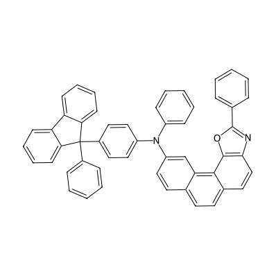 c1ccc(-c2nc3ccc4ccc5ccc(N(c6ccccc6)c6ccc(C7(c8ccccc8)c8ccccc8-c8ccccc87)cc6)cc5c4c3o2)cc1